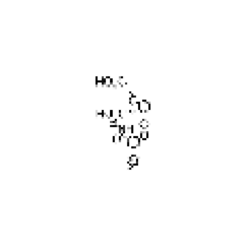 O=C(O)CCCOc1cccc(C2CC(Oc3cc(C(=O)NC4CC4)cc(-c4ccsc4)c3)C2)c1CCC(=O)O